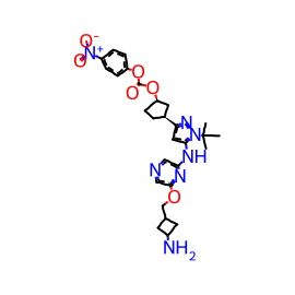 CC(C)(C)n1nc([C@H]2CC[C@@H](OC(=O)Oc3ccc([N+](=O)[O-])cc3)C2)cc1Nc1cncc(OCC2CC(N)C2)n1